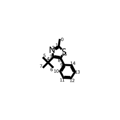 Cc1nc(C(C)(C)C)c(-c2ccccc2)s1